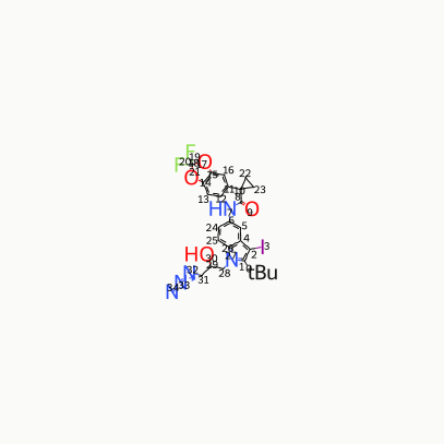 CC(C)(C)c1c(I)c2cc(NC(=O)C3(c4ccc5c(c4)OC(F)(F)O5)CC3)ccc2n1CC(O)CN=[N+]=[N-]